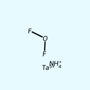 FOF.[NH4+].[Ta+5]